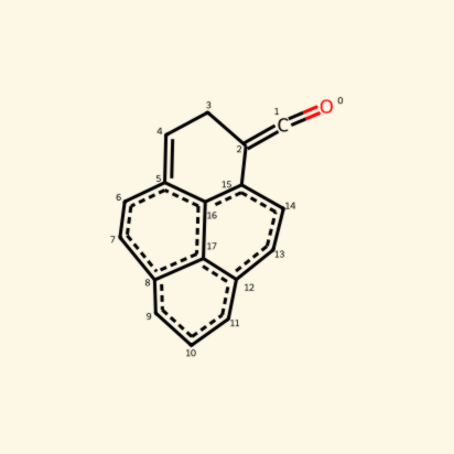 O=C=C1CC=c2ccc3cccc4ccc1c2c43